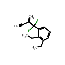 C#CC(=C)C(F)(F)c1cccc(CC)c1CC